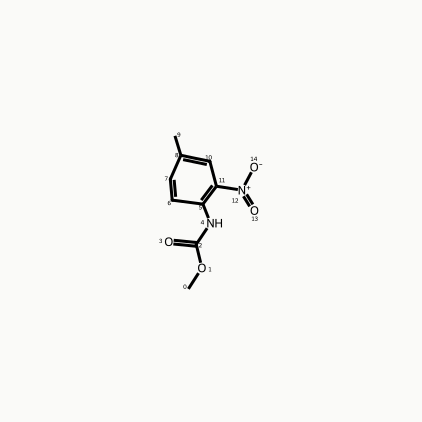 COC(=O)Nc1ccc(C)cc1[N+](=O)[O-]